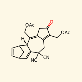 CC(=O)OCC1=C2CC(C#N)(C#N)C3=CC4C=CC(C4)[C@@H]3C(COC(C)=O)=C2CC1=O